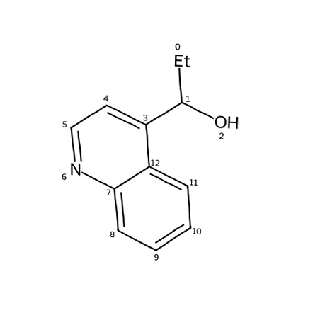 CCC(O)c1ccnc2ccccc12